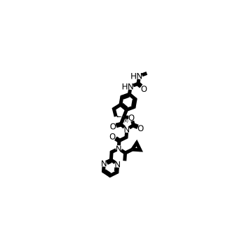 CNC(=O)Nc1ccc2c(c1)CC[C@@]21OC(=O)N(CC(=O)N(Cc2ncccn2)C(C)C2CC2)C1=O